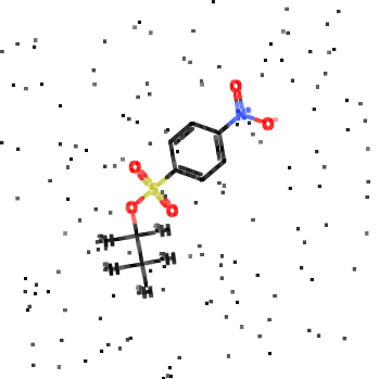 [2H]C([2H])([2H])C([2H])([2H])OS(=O)(=O)c1ccc([N+](=O)[O-])cc1